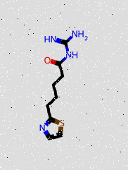 N=C(N)NC(=O)CC[CH]Cc1nccs1